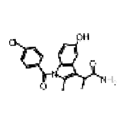 Cc1c(C(C)C(N)=O)c2cc(O)ccc2n1C(=O)c1ccc(Cl)cc1